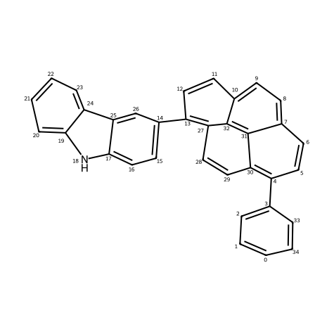 c1ccc(-c2ccc3ccc4ccc(-c5ccc6[nH]c7ccccc7c6c5)c5ccc2c3c45)cc1